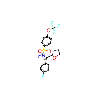 O=S(=O)(N[C@@H](c1ccc(F)cc1)C1CCCO1)c1ccc(OC(F)(F)F)cc1